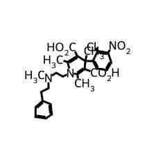 CC1=C(C(=O)O)C(C)(c2cccc([N+](=O)[O-])c2Cl)C(C(=O)O)=C(C)N1CCN(C)CCc1ccccc1